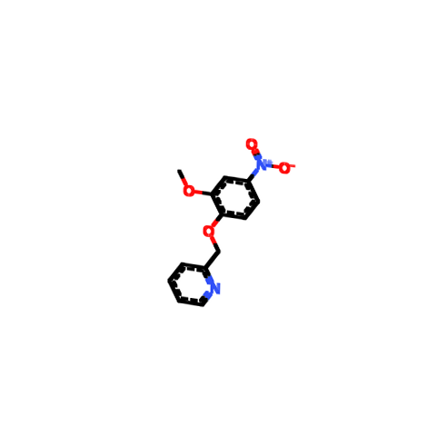 COc1cc([N+](=O)[O-])ccc1OCc1ccccn1